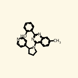 Cc1ccc2c(N3CCCC3c3ccncc3)nc(-c3ccccc3O)nc2c1